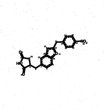 O=C1NC(=O)C(Cc2ccc3oc(Cc4ccc([N+](=O)[O-])cc4)nc3c2)S1